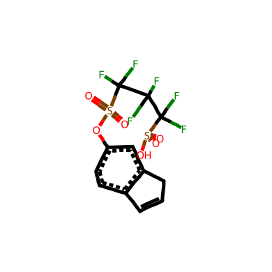 O=S(=O)(O)C(F)(F)C(F)(F)C(F)(F)S(=O)(=O)Oc1ccc2c(c1)CC=C2